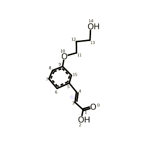 O=C(O)/C=C/c1cccc(OCCCO)c1